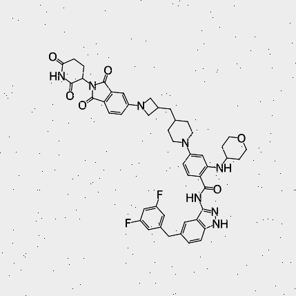 O=C1CCC(N2C(=O)c3ccc(N4CC(CC5CCN(c6ccc(C(=O)Nc7n[nH]c8ccc(Cc9cc(F)cc(F)c9)cc78)c(NC7CCOCC7)c6)CC5)C4)cc3C2=O)C(=O)N1